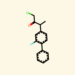 CC(C(=O)CCl)c1ccc(-c2ccccc2)c(F)c1